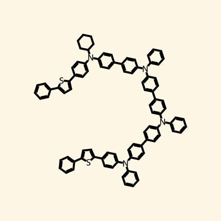 c1ccc(-c2ccc(-c3ccc(N(c4ccccc4)c4ccc(-c5ccc(N(c6ccccc6)c6ccc(-c7ccc(N(c8ccccc8)c8ccc(-c9ccc(N(c%10ccc(-c%11ccc(-c%12ccccc%12)s%11)cc%10)C%10CCCCC%10)cc9)cc8)cc7)cc6)cc5)cc4)cc3)s2)cc1